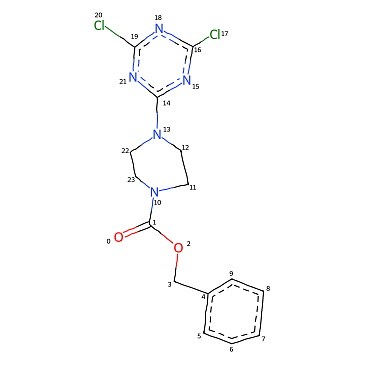 O=C(OCc1ccccc1)N1CCN(c2nc(Cl)nc(Cl)n2)CC1